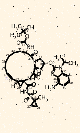 CC(C)n1c(O[C@@H]2C[C@H]3C(=O)N[C@]4(C(=O)NS(=O)(=O)C5(C)CC5)C[C@H]4/C=C\CCCCC[C@H](NC(=O)OC(C)(C)C)C(=O)N3C2)nc2c(N)cccc21